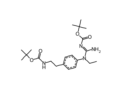 CCN(C(N)=NC(=O)OC(C)(C)C)c1ccc(CCNC(=O)OC(C)(C)C)cc1